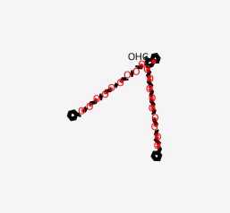 O=Cc1c(OCCOCCOCCOCCOCCOCCOCCOCCOCc2ccccc2)c(OCCOCCOCCOCCOCCOCCOCCOCCOCc2ccccc2)cc2ccccc12